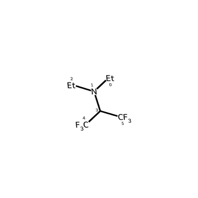 CCN(CC)C(C(F)(F)F)C(F)(F)F